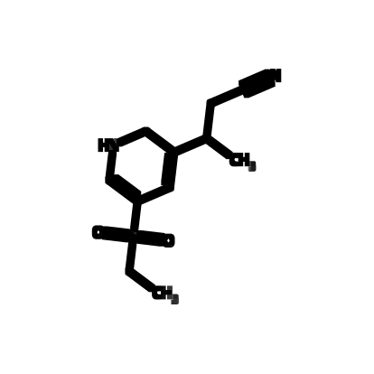 CCS(=O)(=O)C1=CNCC(C(C)CC#N)=C1